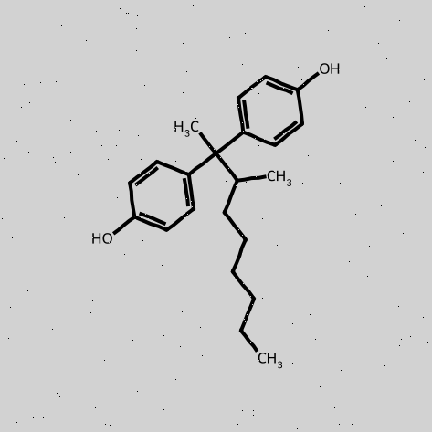 CCCCCCC(C)C(C)(c1ccc(O)cc1)c1ccc(O)cc1